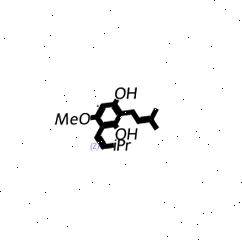 COc1[c]c(O)c(CC=C(C)C)c(O)c1/C=C\C(C)C